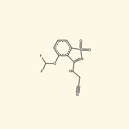 N#CCNC1=NS(=O)(=O)c2cccc(OC(F)F)c21